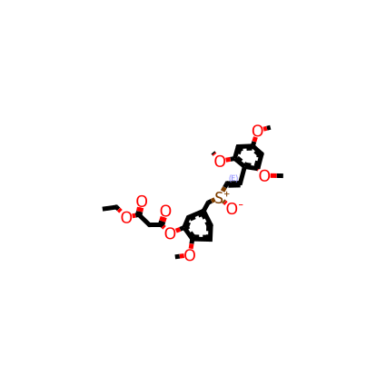 CCOC(=O)CC(=O)Oc1cc(C[S+]([O-])/C=C/c2c(OC)cc(OC)cc2OC)ccc1OC